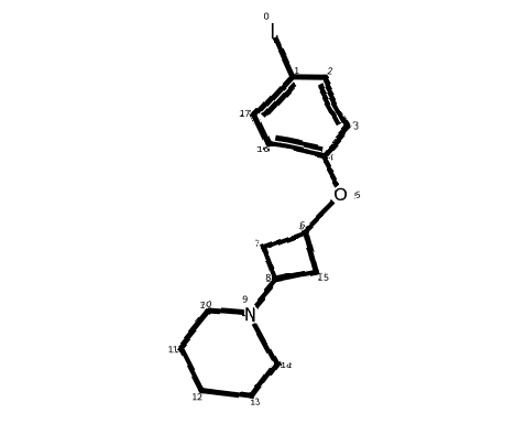 Ic1ccc(OC2CC(N3CCCCC3)C2)cc1